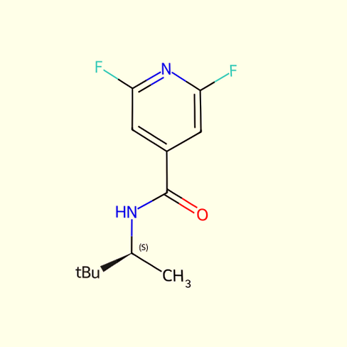 C[C@H](NC(=O)c1cc(F)nc(F)c1)C(C)(C)C